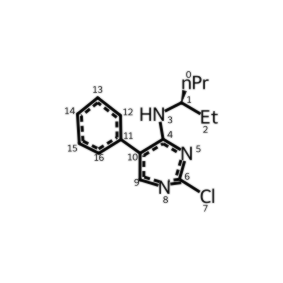 CCC[C@@H](CC)Nc1nc(Cl)ncc1-c1ccccc1